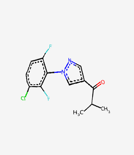 CC(C)C(=O)c1cnn(-c2c(F)ccc(Cl)c2F)c1